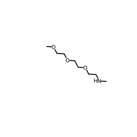 CNCCOCCOCCOC